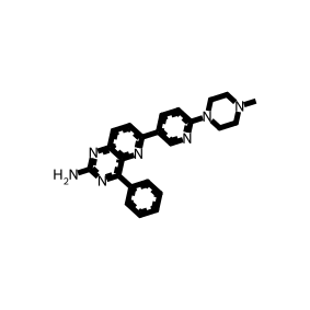 CN1CCN(c2ccc(-c3ccc4nc(N)nc(-c5ccccc5)c4n3)cn2)CC1